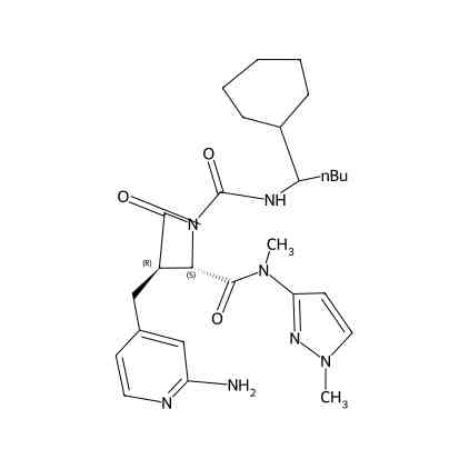 CCCCC(NC(=O)N1C(=O)[C@H](Cc2ccnc(N)c2)[C@H]1C(=O)N(C)c1ccn(C)n1)C1CCCCC1